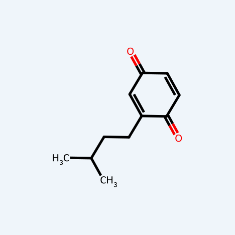 CC(C)CCC1=CC(=O)C=CC1=O